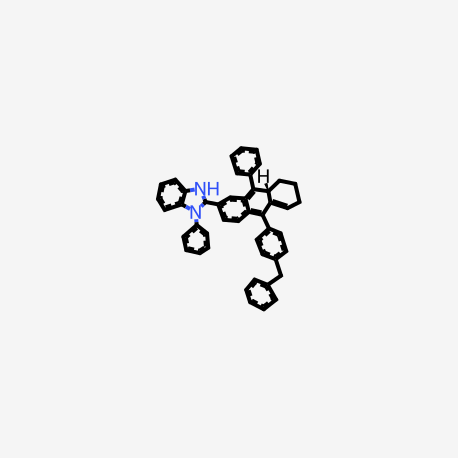 C1=C2C(c3ccc(Cc4ccccc4)cc3)=c3ccc(C4Nc5ccccc5N4c4ccccc4)cc3=C(c3ccccc3)[C@@H]2CCC1